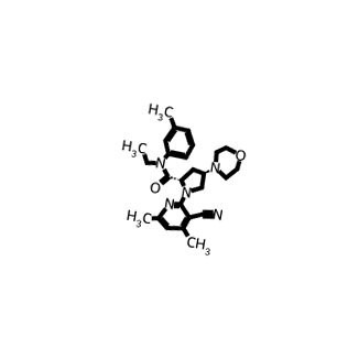 CCN(C(=O)[C@@H]1C[C@H](N2CCOCC2)CN1c1nc(C)cc(C)c1C#N)c1cccc(C)c1